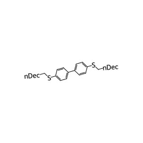 CCCCCCCCCCCSc1ccc(-c2ccc(SCCCCCCCCCCC)cc2)cc1